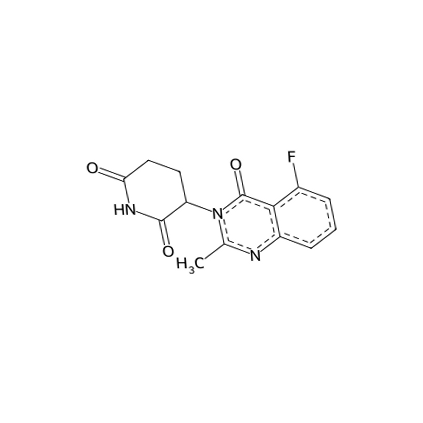 Cc1nc2cccc(F)c2c(=O)n1C1CCC(=O)NC1=O